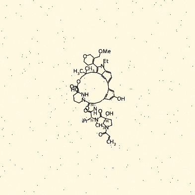 C=CC(=O)N1CC[C@](O)(C(=O)N(C)[C@H](C(=O)N[C@H]2Cc3cc(O)cc(c3)-c3ccc4c(c3)c(c(C3=C(COC)COCC3)n4CC)CC(C)(C)COC(=O)[C@@]3(O)CCCN(N3)C2=O)C(C)C)C1